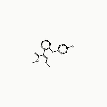 CNC(=O)C(=NOC)c1ccccc1Oc1ccc(Br)cc1